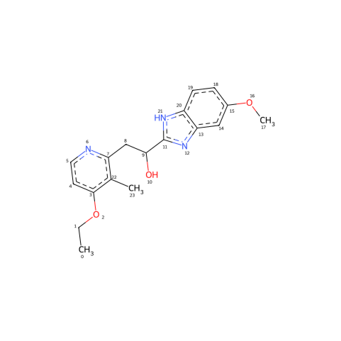 CCOc1ccnc(CC(O)c2nc3cc(OC)ccc3[nH]2)c1C